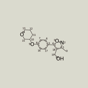 Cc1noc(-c2ccc(OC3CCCOC3)cc2)c1CO